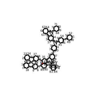 CC(C)CC(c1ccc(-c2ccc3c(c2)C2(c4ccccc4-3)c3ccccc3-c3ccc(-c4ccc5c(c4)c4cc(-c6ccc(N(c7ccc(-c8ccccc8)cc7)c7ccc8c9ccccc9n(-c9ccccc9)c8c7)cc6)ccc4n5-c4ccccc4)cc32)cc1)C(C)C